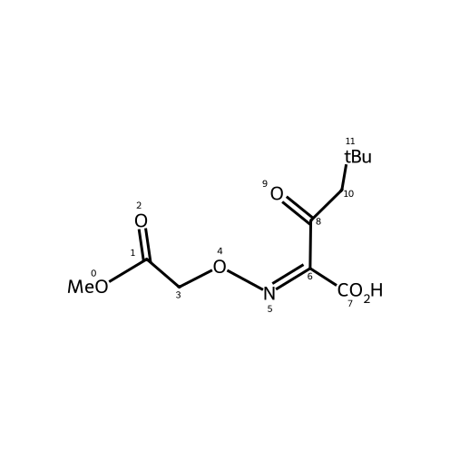 COC(=O)CON=C(C(=O)O)C(=O)CC(C)(C)C